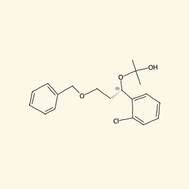 CC(C)(O)O[C@@H](CCOCc1ccccc1)c1ccccc1Cl